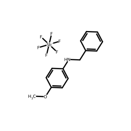 COc1ccc(NCc2ccccc2)cc1.[F][Sb-]([F])([F])([F])([F])[F]